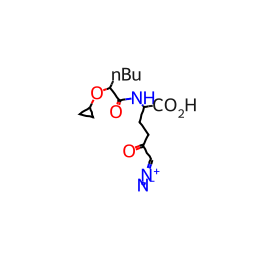 CCCCC(OC1CC1)C(=O)NC(CCC(=O)C=[N+]=[N-])C(=O)O